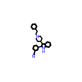 N#Cc1cccc(-c2[nH]c3ccccc3c2C2CCN(CCc3ccccc3)CC2)c1